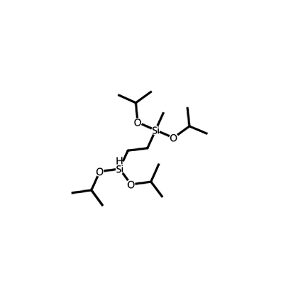 CC(C)O[SiH](CC[Si](C)(OC(C)C)OC(C)C)OC(C)C